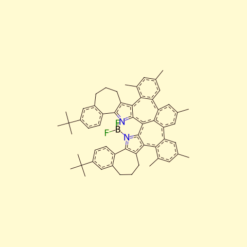 Cc1cc(C)c2c(c1)c1cc(C)cc3c4cc(C)cc(C)c4c4c5c(n(B(F)F)c4c(c4nc6c(c42)CCCc2cc(C(C)(C)C)ccc2-6)c13)-c1ccc(C(C)(C)C)cc1CCC5